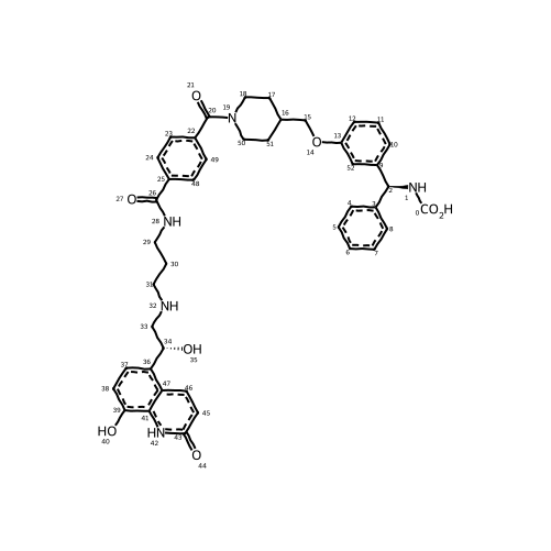 O=C(O)N[C@@H](c1ccccc1)c1cccc(OCC2CCN(C(=O)c3ccc(C(=O)NCCCNC[C@H](O)c4ccc(O)c5[nH]c(=O)ccc45)cc3)CC2)c1